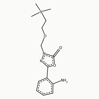 C[Si](C)(C)CCOCn1nc(-c2ccccc2N)oc1=O